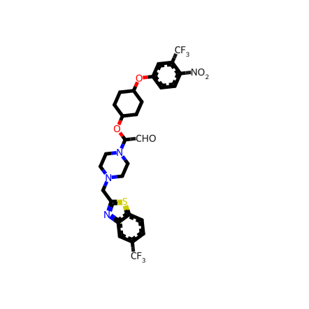 O=CC(OC1CCC(Oc2ccc([N+](=O)[O-])c(C(F)(F)F)c2)CC1)N1CCN(Cc2nc3cc(C(F)(F)F)ccc3s2)CC1